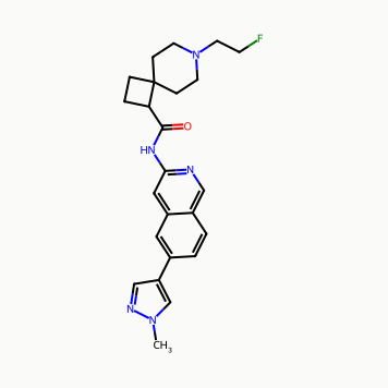 Cn1cc(-c2ccc3cnc(NC(=O)C4CCC45CCN(CCF)CC5)cc3c2)cn1